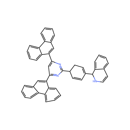 C1=Cc2ccccc2C(C2=CCC(c3nc(-c4cc5ccccc5c5ccccc45)cc(-c4cc5ccccc5c5ccccc45)n3)C=C2)N1